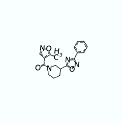 Cc1oncc1C(=O)N1CCCC(c2nc(-c3ccccc3)no2)C1